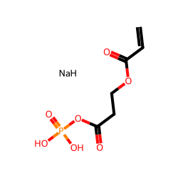 C=CC(=O)OCCC(=O)OP(=O)(O)O.[NaH]